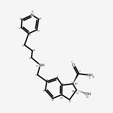 NC(=O)[C@@H]1c2cc(CNCCCc3ccncc3)ccc2C[C@H]1O